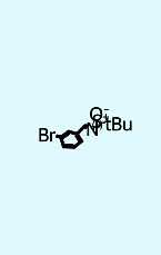 CC(C)(C)[S@@+]([O-])N=Cc1cccc(Br)c1